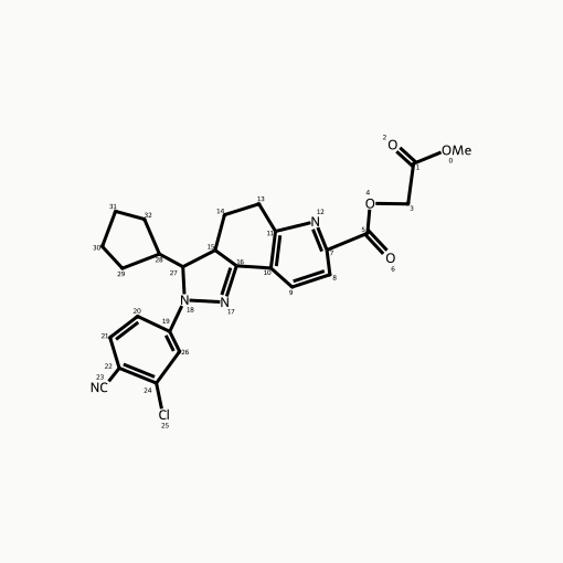 COC(=O)COC(=O)c1ccc2c(n1)CCC1C2=NN(c2ccc(C#N)c(Cl)c2)C1C1CCCC1